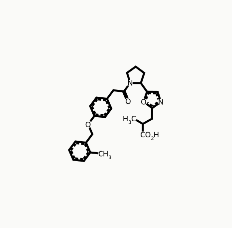 Cc1ccccc1COc1ccc(CC(=O)N2CCCC2c2cnc(CC(C)C(=O)O)o2)cc1